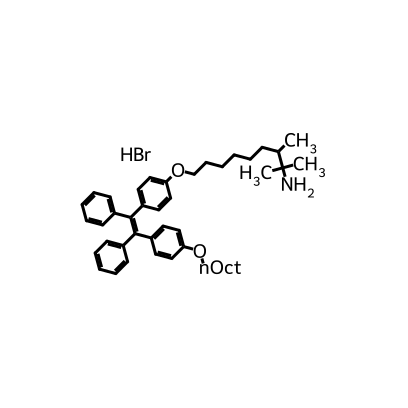 Br.CCCCCCCCOc1ccc(C(=C(c2ccccc2)c2ccc(OCCCCCCC(C)C(C)(C)N)cc2)c2ccccc2)cc1